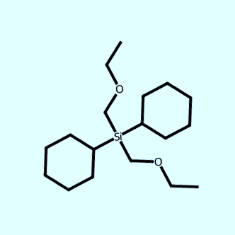 CCOC[Si](COCC)(C1CCCCC1)C1CCCCC1